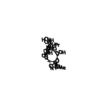 CCn1c(-c2cccnc2[C@H](C)OC)c2c3cc(ccc31)-c1cc(O)cc(c1)C[C@H](NC(=O)C(C(C)C)N(C)C(=O)[C@H]1CC[C@H]3CCCN[C@H]31)C(=O)N1CCC[C@H](N1)C(=O)OCC(C)(C)C2